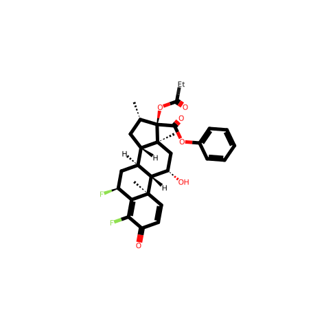 CCC(=O)O[C@]1(C(=O)Oc2ccccc2)[C@@H](C)C[C@H]2[C@@H]3C[C@H](F)C4=C(F)C(=O)C=C[C@]4(C)[C@H]3[C@@H](O)C[C@@]21C